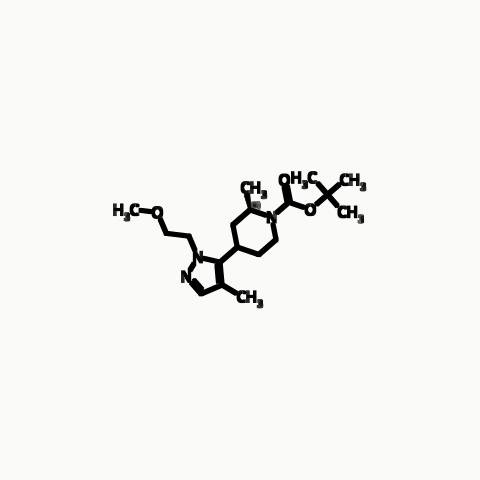 COCCn1ncc(C)c1C1CCN(C(=O)OC(C)(C)C)[C@H](C)C1